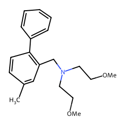 COCCN(CCOC)Cc1cc(C)ccc1-c1ccccc1